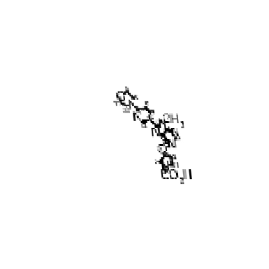 Cn1c(-c2ccc(N3CCOCC3)nc2)nc2c(O[C@H]3CCN(C(=O)O)C3)ncnc21